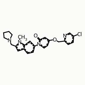 Cn1c(CN2CCCC2)cc2ccc(-n3ccc(OCc4ccc(Cl)cn4)cc3=O)cc21